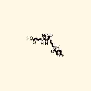 O=C(O)CCCNC(=O)N[C@@H](CCCCNC(=O)c1ccc([18F])nc1)C(=O)O